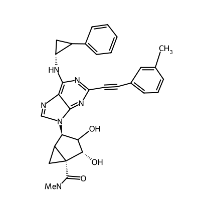 CNC(=O)[C@]12CC1[C@@H](n1cnc3c(N[C@@H]4CC4c4ccccc4)nc(C#Cc4cccc(C)c4)nc31)C(O)[C@@H]2O